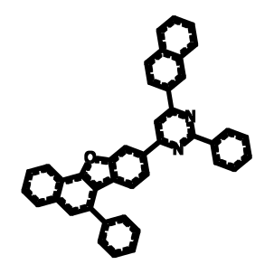 c1ccc(-c2nc(-c3ccc4ccccc4c3)cc(-c3ccc4c(c3)oc3c5ccccc5cc(-c5ccccc5)c43)n2)cc1